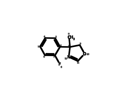 CC1(c2ccccc2F)COC=N1